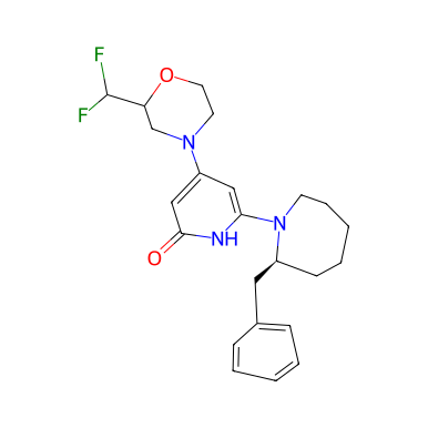 O=c1cc(N2CCOC(C(F)F)C2)cc(N2CCCCC[C@H]2Cc2ccccc2)[nH]1